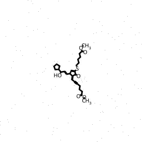 COC(=O)CCCC#CC=C1C(=O)C(SCCCCCC(=O)OC)=CC1C=CC(O)C1CCCC1